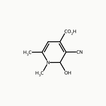 CC1=CC(C(=O)O)=C(C#N)C(O)N1C